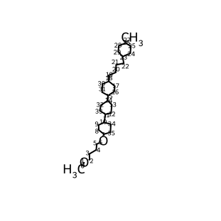 COCCCCOC1CCC(C2CCC(C3CCC(CCCCC4CCC(C)CC4)CC3)CC2)CC1